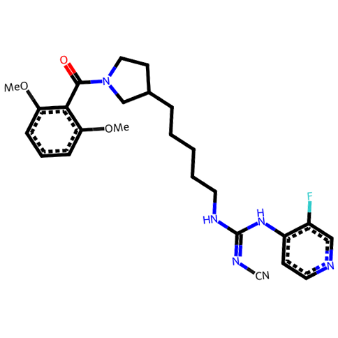 COc1cccc(OC)c1C(=O)N1CCC(CCCCCNC(=NC#N)Nc2ccncc2F)C1